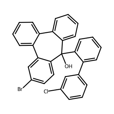 OC1(c2ccccc2-c2cccc(Cl)c2)c2ccccc2-c2ccccc2-c2cc(Br)ccc21